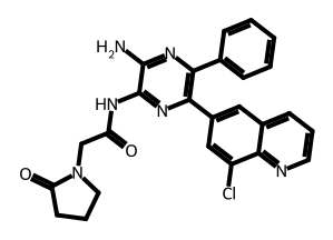 Nc1nc(-c2ccccc2)c(-c2cc(Cl)c3ncccc3c2)nc1NC(=O)CN1CCCC1=O